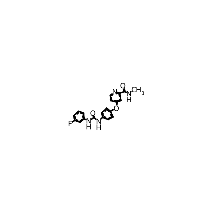 CNC(=O)c1cc(Oc2ccc(NC(=O)Nc3cccc(F)c3)cc2)ccn1